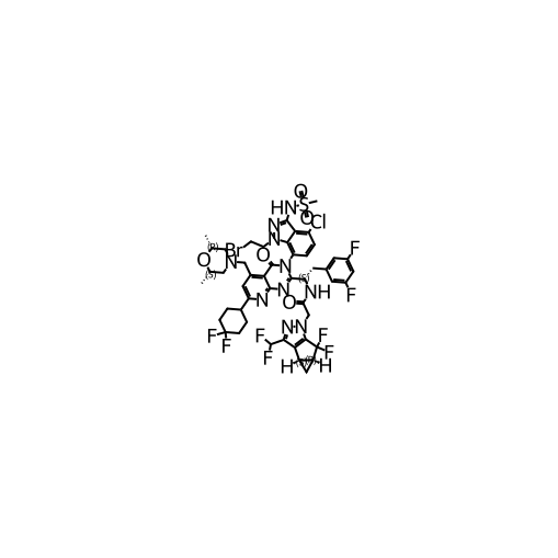 C[C@@H]1CN(Cc2cc(C3CCC(F)(F)CC3)nc3nc([C@H](Cc4cc(F)cc(F)c4)NC(=O)Cn4nc(C(F)F)c5c4C(F)(F)[C@@H]4C[C@H]54)n(-c4ccc(Cl)c5c(NS(C)(=O)=O)nn(CCBr)c45)c(=O)c23)C[C@H](C)O1